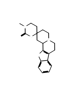 CN1CCC2(CCN3CCc4c(oc5ccccc45)C3C2)NC1=O